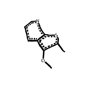 COc1c(C)sc2ncccc12